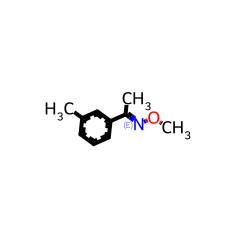 CO/N=C(\C)c1cccc(C)c1